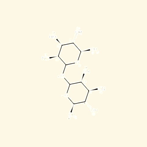 C[C@H]1OC(OC2O[C@H](C)[C@@H](O)[C@H](O)[C@@H]2O)[C@@H](O)[C@@H](O)[C@@H]1O